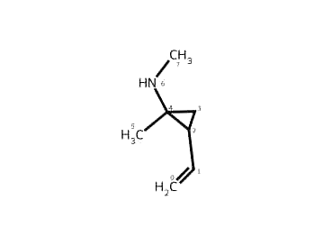 C=CC1CC1(C)NC